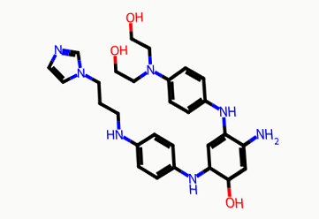 NC1=CC(O)C(Nc2ccc(NCCCn3ccnc3)cc2)C=C1Nc1ccc(N(CCO)CCO)cc1